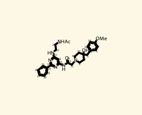 COc1ccc(CC2(O)CCN(CC(=O)Nc3cc(NCCNC(C)=O)nc(-c4ccccc4)n3)CC2)cc1